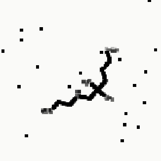 CCCCCCCCCCC(C)(C)CNCCC=O